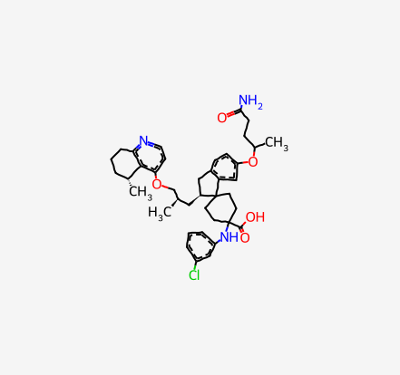 CC(CCC(N)=O)Oc1ccc2c(c1)C1(CCC(Nc3cccc(Cl)c3)(C(=O)O)CC1)[C@@H](C[C@@H](C)COc1ccnc3c1[C@H](C)CCC3)C2